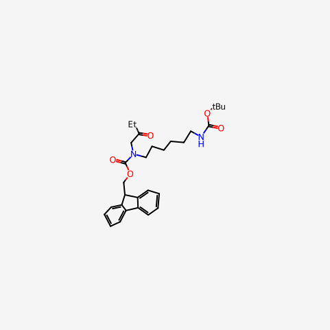 CCC(=O)CN(CCCCCCNC(=O)OC(C)(C)C)C(=O)OCC1c2ccccc2-c2ccccc21